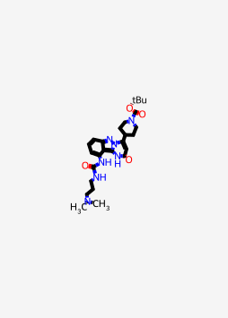 CN(C)CCCNC(=O)Nc1cccc2nn3c(C4CCN(C(=O)OC(C)(C)C)CC4)cc(=O)[nH]c3c12